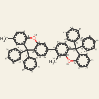 Cc1ccc2c(c1)C(c1ccccc1)(c1ccccc1)c1ccc(-c3ccc4c(c3C)Oc3ccccc3C4(c3ccccc3)c3ccccc3)cc1O2